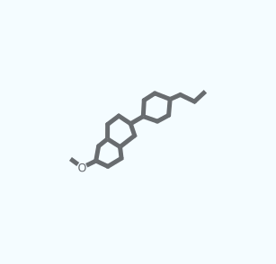 CCCC1CCC(C2CCC3CC(OC)CCC3C2)CC1